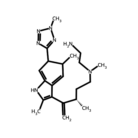 C=C(c1c(C)[nH]c2c1=CC(C)C(c1nnn(C)n1)C=2)[C@@H](C)CCN(C)CCN